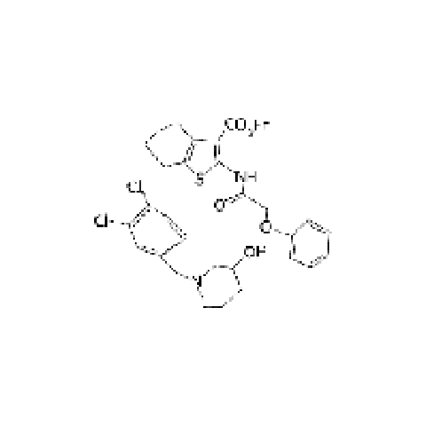 CCOC(=O)c1c(NC(=O)COc2ccccc2)sc2c1CCCC2.OC1CCCN(Cc2ccc(Cl)c(Cl)c2)C1